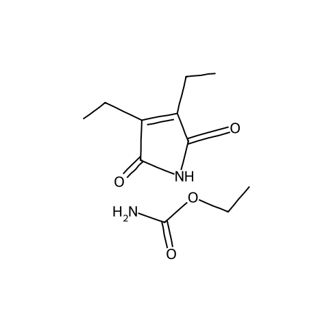 CCC1=C(CC)C(=O)NC1=O.CCOC(N)=O